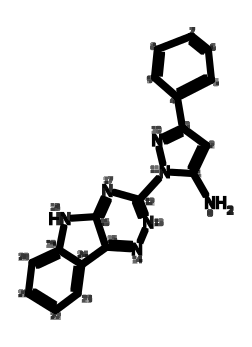 Nc1cc(-c2ccccc2)nn1-c1nnc2c(n1)[nH]c1ccccc12